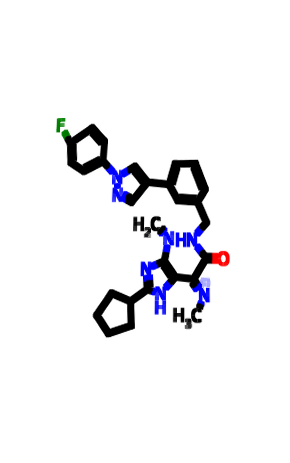 C=Nc1nc(C2CCCC2)[nH]c1/C(=N\C)C(=O)NCc1cccc(-c2cnn(-c3ccc(F)cc3)c2)c1